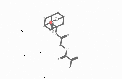 C=C(C)C(=O)OCC(=O)OC12CC3CC(=O)C(CC(C3)C1)C2